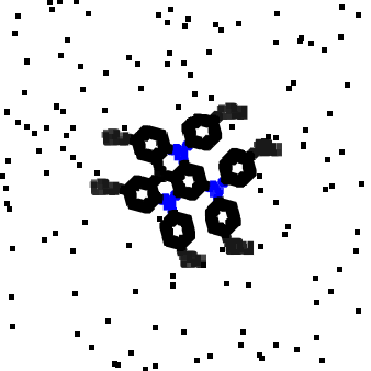 CC(C)(C)c1ccc(N(c2ccc(C(C)(C)C)cc2)c2cc3c4c(c2)N(c2ccc(C(C)(C)C)cc2)c2ccc(C(C)(C)C)cc2B4c2cc(C(C)(C)C)ccc2N3c2ccc(C(C)(C)C)cc2)cc1